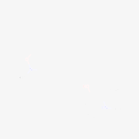 C=C(CCCCCCN(C=O)OCc1ccccc1)C(O)C(NC=O)C(=O)OCC